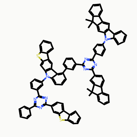 CC1(C)c2ccccc2-c2ccc(-c3nc(-c4ccc(-n5c6ccccc6c6cc7c(cc65)C(C)(C)c5ccccc5-7)cc4)nc(-c4cccc(-c5cccc6c5c5cc7c(cc5n6-c5cccc(-c6nc(-c8ccccc8)nc(-c8ccc9c(c8)sc8ccccc89)n6)c5)sc5ccccc57)c4)n3)cc21